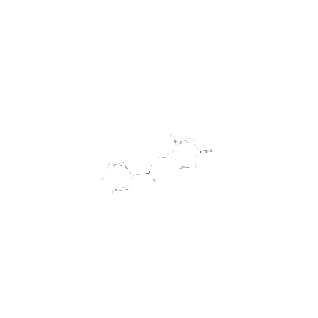 O=C(Sn1ccc(=O)[nH]c1=O)c1ccccc1